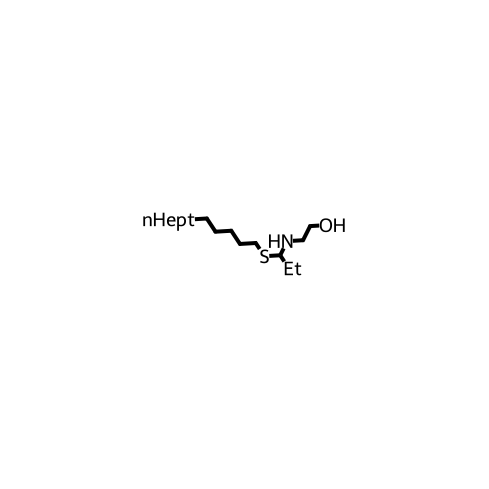 CCCCCCCCCCCCSC(CC)NCCO